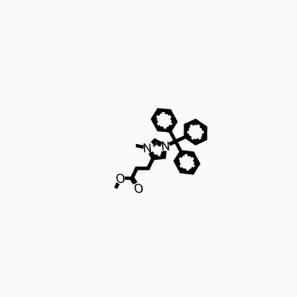 COC(=O)CCc1cn(C(c2ccccc2)(c2ccccc2)c2ccccc2)c[n+]1C